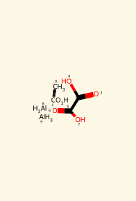 CC(=O)O.O=C(O)C(=O)O.[AlH3].[AlH3]